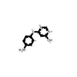 Nc1ccc(Oc2cc(O)ncn2)cc1